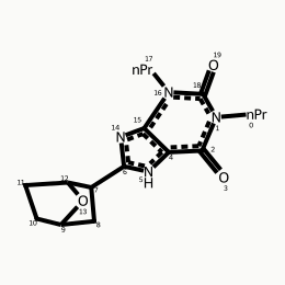 CCCn1c(=O)c2[nH]c(C3CC4CCC3O4)nc2n(CCC)c1=O